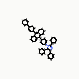 C1=CC(c2ccc(-c3c4ccccc4c(-c4ccc(-n5c(-c6ccccc6)nc(-c6ccccc6)c5-c5ccccc5)cc4)c4ccccc34)cc2)=CCC1